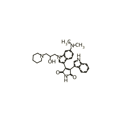 CN(C)c1ccc2c(C3=C(c4c[nH]c5ccccc45)C(=O)NC3=O)cn(CC(O)CN3CCCCC3)c2c1